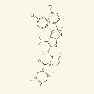 CC(C)C1=C(C(=O)N2[C@H](C)CC[C@H]2C(=O)N2C[C@@H](C)N(C)C[C@H]2C)SC2=N[C@](C)(c3ccc(Cl)cc3)[C@@H](c3ccc(Cl)cc3)N21